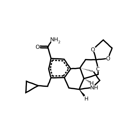 NC(=O)c1cc(CC2CC2)c2c(c1)[C@]13CCN[C@H](C2)[C@@H]1CCC1(C3)OCCO1